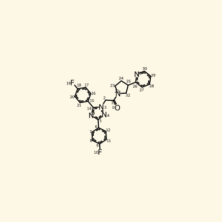 O=C(Cn1nc(-c2ccc(F)cc2)nc1-c1ccc(F)cc1)N1CCC(c2ccccn2)C1